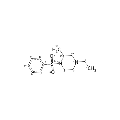 CCN1CCN(S(=O)(=O)c2ccccc2)C(C)C1